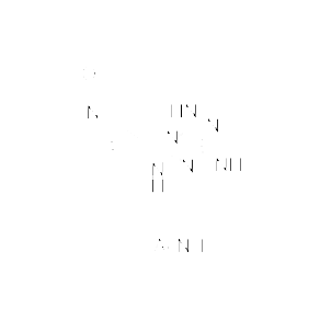 CC(=O)NCC1CCC(Nc2nc(Nc3ccc(CN4CCOCC4)cc3C)nc3[nH]cnc23)CC1